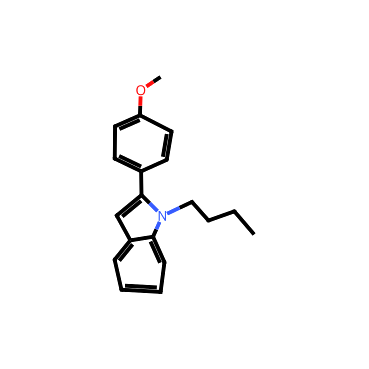 CCCCn1c(-c2ccc(OC)cc2)cc2ccccc21